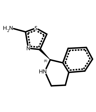 Nc1nc([C@@H]2NCCc3ccccc32)cs1